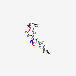 CCCCCCCCOc1ccc(-c2cc(-c3ccc(CCCC)s3)on2)cc1